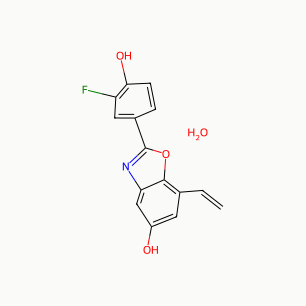 C=Cc1cc(O)cc2nc(-c3ccc(O)c(F)c3)oc12.O